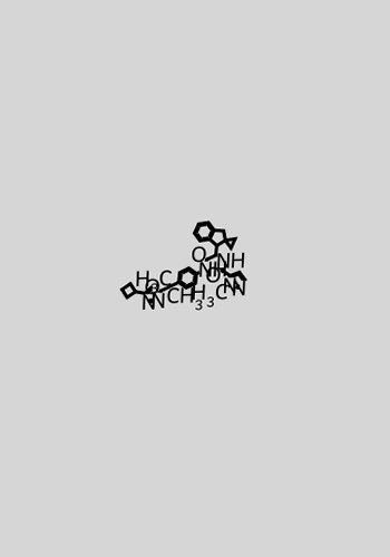 Cn1nccc1C(=O)N[C@H](C(=O)Nc1ccc(C(C)(C)c2nnc(C3CCC3)o2)cc1)C1c2ccccc2CC12CC2